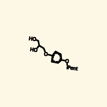 CCCC(C)Oc1ccc(OCC(O)CO)cc1